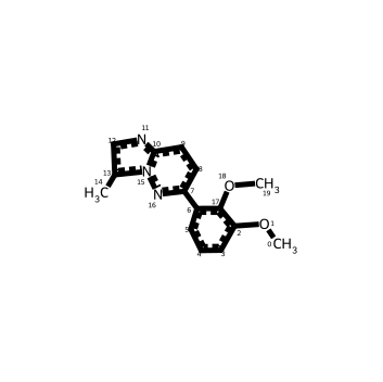 COc1cccc(-c2ccc3ncc(C)n3n2)c1OC